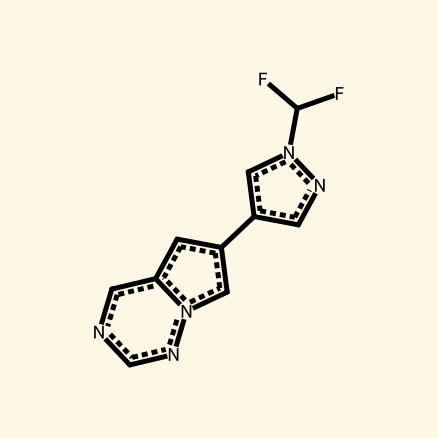 FC(F)n1cc(-c2cc3cncnn3c2)cn1